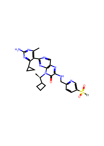 CCS(=O)(=O)c1ccc(CNc2nc3cnc(-c4c(C)nc(N)nc4C4CC4)nc3n([C@H](C)C3CCC3)c2=O)nc1